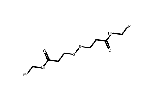 CC(C)CNC(=O)CCSSCCC(=O)NCC(C)C